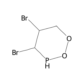 BrC1COOPC1Br